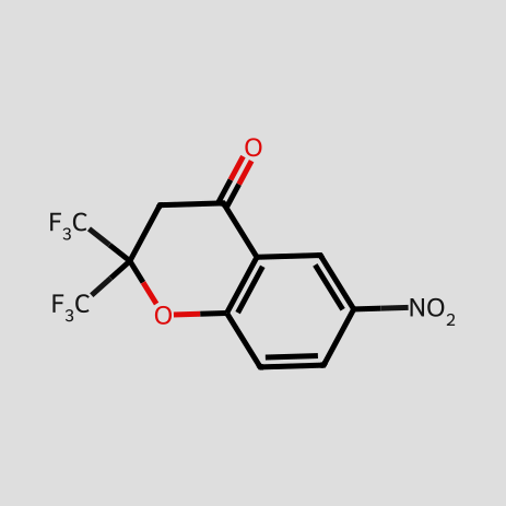 O=C1CC(C(F)(F)F)(C(F)(F)F)Oc2ccc([N+](=O)[O-])cc21